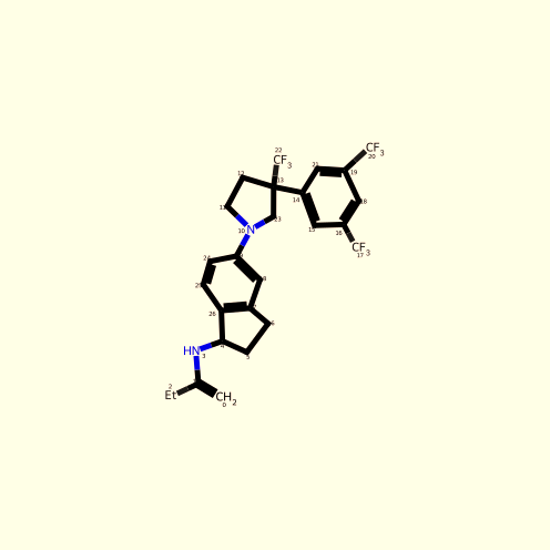 C=C(CC)NC1CCc2cc(N3CCC(c4cc(C(F)(F)F)cc(C(F)(F)F)c4)(C(F)(F)F)C3)ccc21